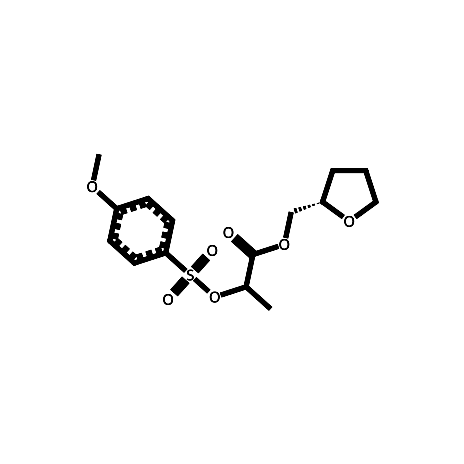 COc1ccc(S(=O)(=O)OC(C)C(=O)OC[C@@H]2CCCO2)cc1